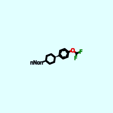 CCCCCCCCC[C@H]1CC[C@H](c2ccc(OC(F)F)cc2)CC1